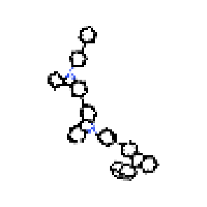 c1ccc(-c2ccc(-n3c4ccccc4c4cc(-c5ccc6c(c5)c5ccccc5n6-c5ccc(-c6ccc7c(c6)C6(c8ccccc8-7)C7CC8CC(C7)CC6C8)cc5)ccc43)cc2)cc1